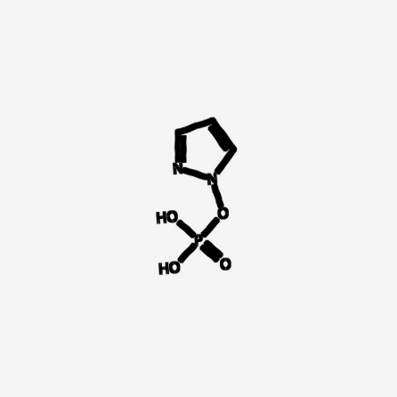 O=P(O)(O)On1cccn1